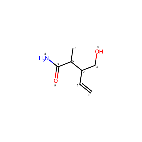 C=CC(CO)C(C)C(N)=O